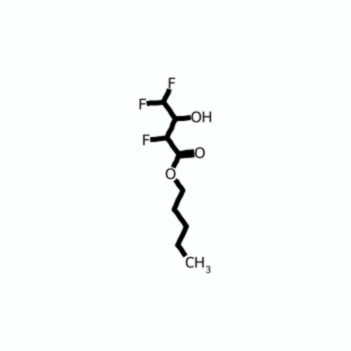 CCCCCOC(=O)C(F)C(O)C(F)F